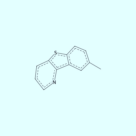 Cc1ccc2sc3cccnc3c2c1